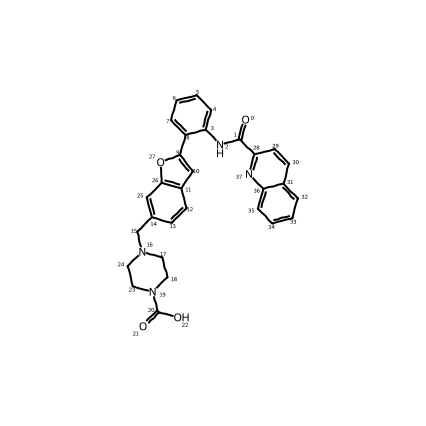 O=C(Nc1ccccc1-c1cc2ccc(CN3CCN(C(=O)O)CC3)cc2o1)c1ccc2ccccc2n1